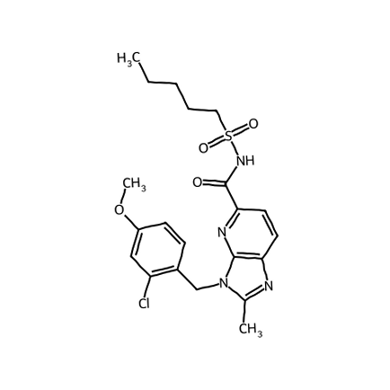 CCCCCS(=O)(=O)NC(=O)c1ccc2nc(C)n(Cc3ccc(OC)cc3Cl)c2n1